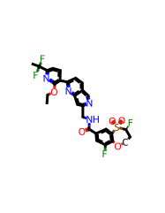 CCOc1nc(C(C)(F)F)ccc1-c1ccc2cnc(CNC(=O)c3cc(F)c4c(c3)S(=O)(=O)[C@@H](F)CCO4)cc2n1